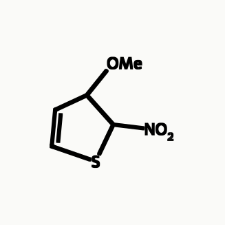 COC1C=CSC1[N+](=O)[O-]